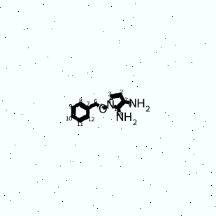 Nc1ccn(OCc2ccccc2)c1N